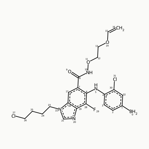 Bc1ccc(Nc2c(C(=O)NOCCOC=C)cc3c(ncn3CCCCCl)c2F)c(Cl)c1